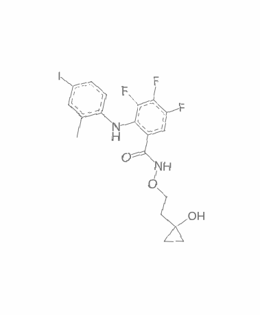 Cc1cc(I)ccc1Nc1c(C(=O)NOCCC2(O)CC2)cc(F)c(F)c1F